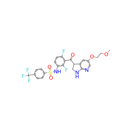 COCCOc1cnc2c(c1)C(C(=O)c1c(F)ccc(NS(=O)(=O)c3ccc(C(F)(F)F)cc3)c1F)CN2